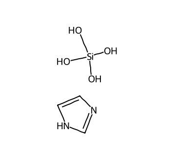 O[Si](O)(O)O.c1c[nH]cn1